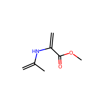 C=C(C)NC(=C)C(=O)OC